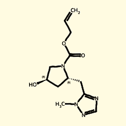 C=CCOC(=O)N1C[C@H](O)C[C@H]1Cc1ncnn1C